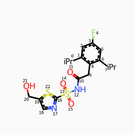 CC(C)c1cc(F)cc(C(C)C)c1CC(=O)NS(=O)(=O)c1ncc(CO)s1